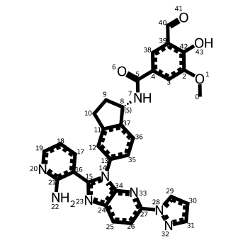 COc1cc(C(=O)N[C@H]2CCc3cc(-n4c(-c5cccnc5N)nc5ccc(-n6cccn6)nc54)ccc32)cc(C=O)c1O